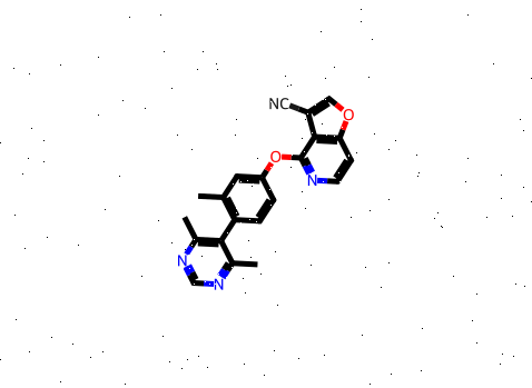 Cc1cc(Oc2nccc3occ(C#N)c23)ccc1-c1c(C)ncnc1C